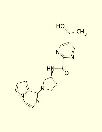 CC(O)c1cnc(C(=O)N[C@H]2CCN(c3nccn4cccc34)C2)nc1